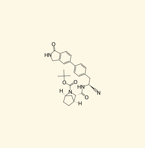 CC(C)(C)OC(=O)N1[C@@H]2CC[C@@H](C2)[C@H]1C(=O)N[C@H](C#N)Cc1ccc(-c2ccc3c(c2)CNC3=O)cc1